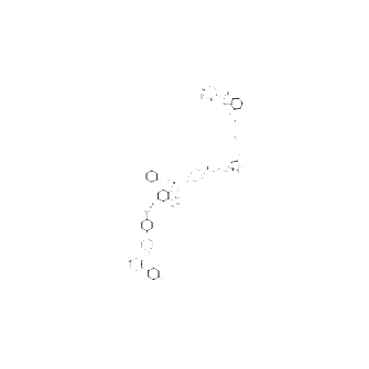 CC1(C)CCC(c2ccc(Cl)cc2)=C(CN2CCN(c3ccc(C(=O)NSc4ccc(N[C@H](CCN5CCN(C(=O)CCCn6cc(COCCOCCNc7cccc8c7C(=O)N(C7CCC(=O)NC7=O)C8=O)nn6)CC5)CSc5ccccc5)c(S(=O)(=O)C(F)(F)F)c4)cc3)CC2)C1